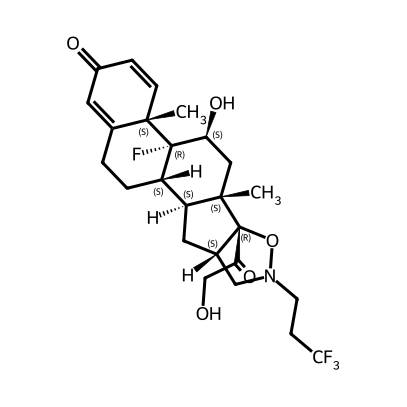 C[C@]12C=CC(=O)C=C1CC[C@H]1[C@@H]3C[C@H]4CN(CCC(F)(F)F)O[C@@]4(C(=O)CO)[C@@]3(C)C[C@H](O)[C@@]12F